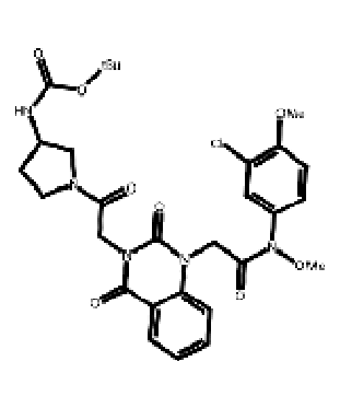 COc1ccc(N(OC)C(=O)Cn2c(=O)n(CC(=O)N3CCC(NC(=O)OC(C)(C)C)C3)c(=O)c3ccccc32)cc1Cl